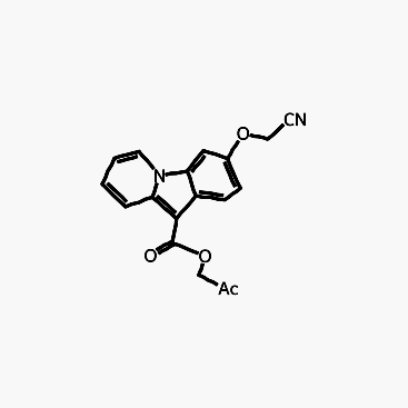 CC(=O)COC(=O)c1c2ccc(OCC#N)cc2n2ccccc12